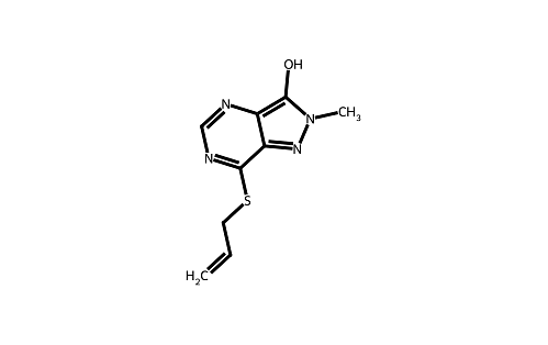 C=CCSc1ncnc2c(O)n(C)nc12